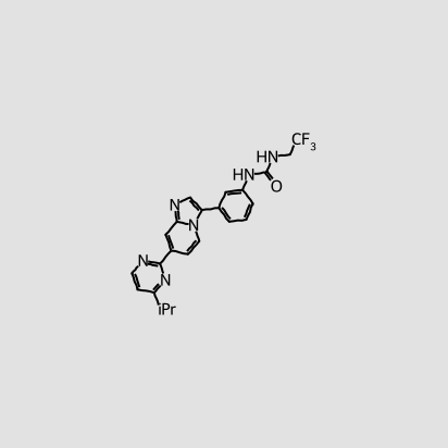 CC(C)c1ccnc(-c2ccn3c(-c4cccc(NC(=O)NCC(F)(F)F)c4)cnc3c2)n1